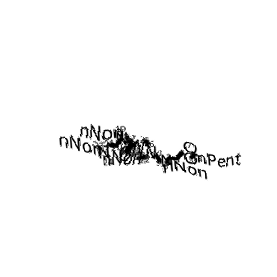 CCCCCCCCCN(CCCOC(=O)CCCCC)CCN1CCN(C(=O)CN(CCCCCCCCC)CCN(CCCCCCCCC)CCCCCCCCC)CC1